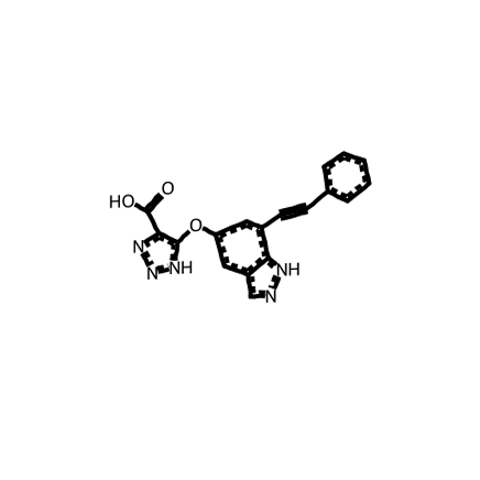 O=C(O)c1nn[nH]c1Oc1cc(C#Cc2ccccc2)c2[nH]ncc2c1